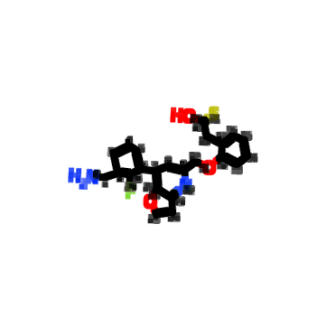 NCc1cccc(-c2cc(COc3ccccc3CC(O)=S)nc3ccoc23)c1F